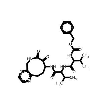 CC(C)C(NC(=O)OCc1ccccc1)C(=O)NC(C(=O)NC1CCc2nccnc2CNC(=O)C1=O)C(C)C